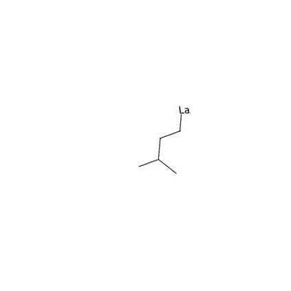 CC(C)C[CH2][La]